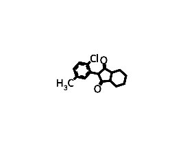 Cc1ccc(Cl)c(C2C(=O)C3CCCCC3C2=O)c1